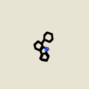 c1ccc2c(c1)[N]C1=C2CCCC1C1CCCCC1